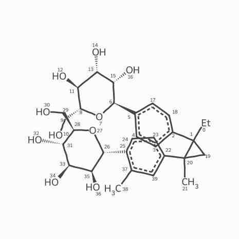 CCC1(c2ccc([C@H]3O[C@H](CO)[C@@H](O)[C@H](O)[C@@H]3O)cc2)CC1(C)c1ccc([C@H]2O[C@H](CO)[C@@H](O)[C@H](O)[C@@H]2O)c(C)c1